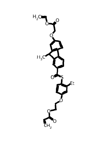 C=COC(=O)COc1ccc2c(c1)C(C)c1cc(C(=O)Sc3ccc(OCCOC(=O)C=C)cc3CC)ccc1-2